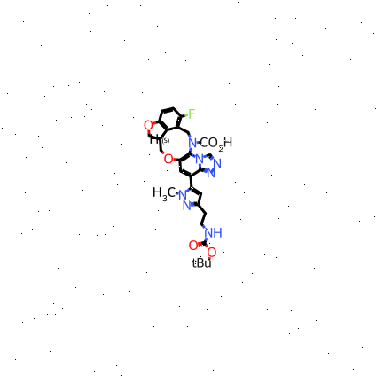 Cn1nc(CCNC(=O)OC(C)(C)C)cc1-c1cc2c(n3cnnc13)N(C(=O)O)Cc1c(F)ccc3c1[C@@H](CO3)CO2